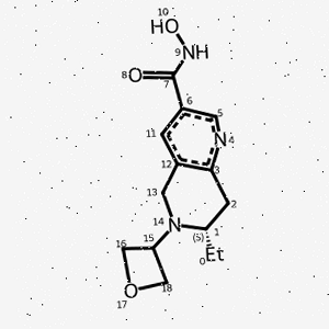 CC[C@H]1Cc2ncc(C(=O)NO)cc2CN1C1COC1